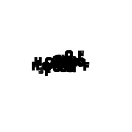 C/C(F)=C\C(C)N1CCn2cc(C(=O)NCc3c(F)cc(F)cc3F)c(=O)c(O)c2C1=O